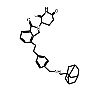 O=C1CCC(N2Cc3c(CCc4ccc(CNCC56CC7CC(CC(C7)C5)C6)cc4)cccc3C2=O)C(=O)N1